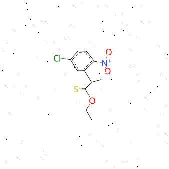 CCOC(=S)C(C)c1cc(Cl)ccc1[N+](=O)[O-]